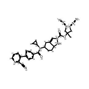 CC(CN=[N+]=[N-])(CN=[N+]=[N-])OC(=O)N1C=C2CC(N(C(=O)c3ccc(-c4cccnc4C#N)cc3)C3CC3)CCC2N1